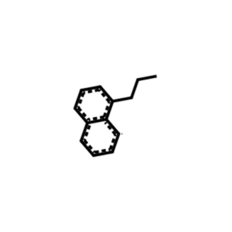 CCCc1cccc2ccc[c]c12